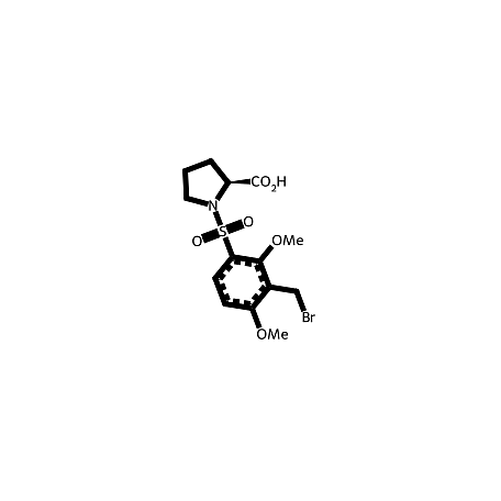 COc1ccc(S(=O)(=O)N2CCC[C@H]2C(=O)O)c(OC)c1CBr